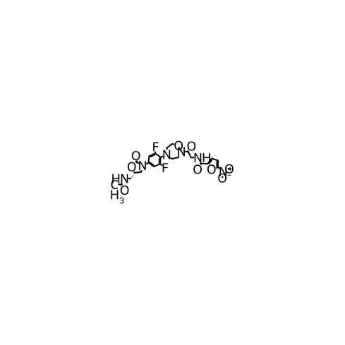 CC(=O)NC[C@H]1CN(c2cc(F)c(N3CCON(C(=O)CNC(=O)c4ccc([N+](=O)[O-])o4)CC3)c(F)c2)C(=O)O1